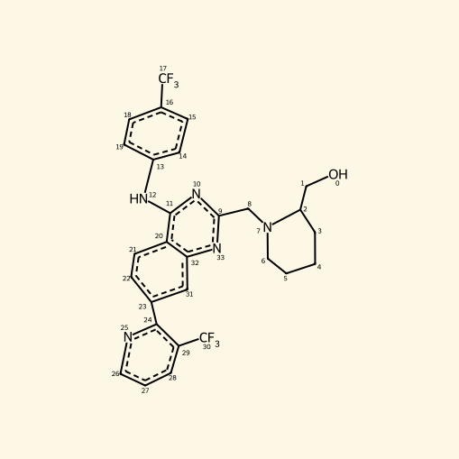 OCC1CCCCN1Cc1nc(Nc2ccc(C(F)(F)F)cc2)c2ccc(-c3ncccc3C(F)(F)F)cc2n1